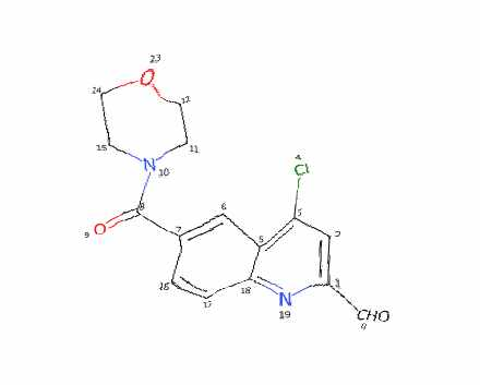 O=Cc1cc(Cl)c2cc(C(=O)N3CCOCC3)ccc2n1